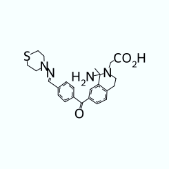 CC1(N)c2cc(C(=O)c3ccc(C=NN4CCSCC4)cc3)ccc2CCN1CC(=O)O